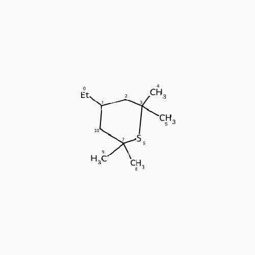 CCC1CC(C)(C)SC(C)(C)C1